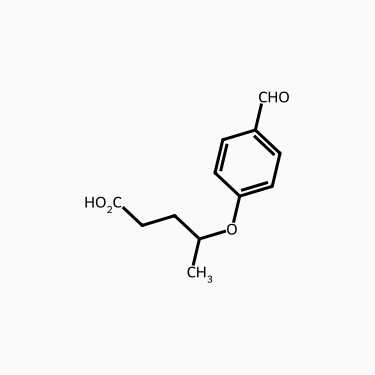 CC(CCC(=O)O)Oc1ccc(C=O)cc1